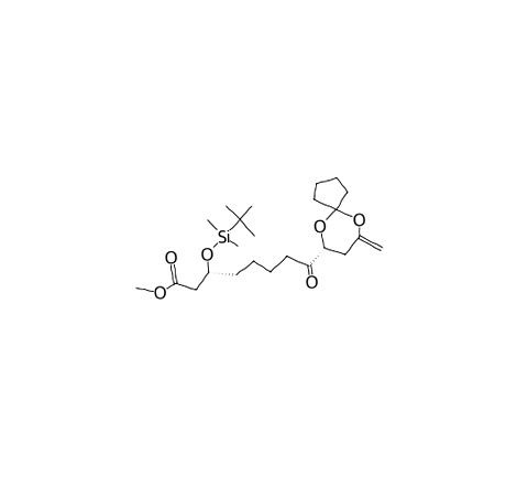 C=C1C[C@H](C(=O)CCCC[C@H](CC(=O)OC)O[Si](C)(C)C(C)(C)C)OC2(CCCC2)O1